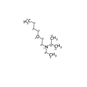 CCCCOCCN(CC)C(C)C